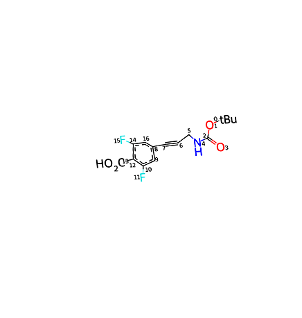 CC(C)(C)OC(=O)NCC#Cc1cc(F)c(C(=O)O)c(F)c1